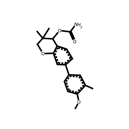 COc1ccc(-c2ccc3c(c2)OCC(C)(C)C3OC(N)=O)cc1C